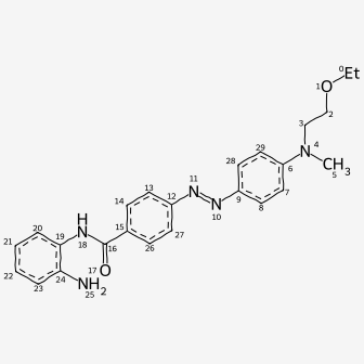 CCOCCN(C)c1ccc(/N=N/c2ccc(C(=O)Nc3ccccc3N)cc2)cc1